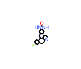 O=c1[nH]c2ccc(/C=C3/c4ccc(F)cc4CCc4ncccc43)cc2[nH]1